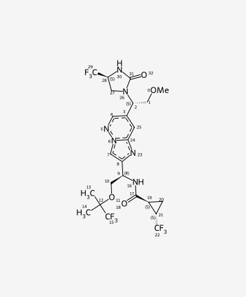 COC[C@H](c1cnn2cc([C@H](COC(C)(C)C(F)(F)F)NC(=O)[C@H]3C[C@@H]3C(F)(F)F)nc2c1)N1C[C@@H](C(F)(F)F)NC1=O